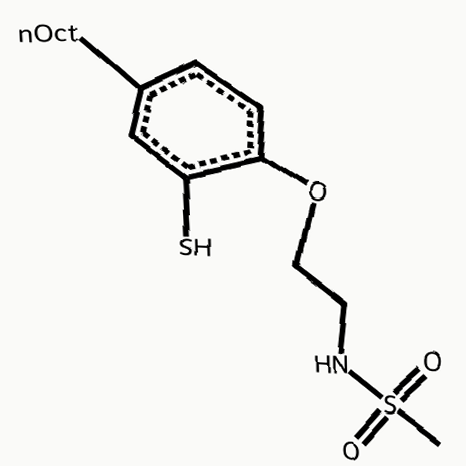 CCCCCCCCc1ccc(OCCNS(C)(=O)=O)c(S)c1